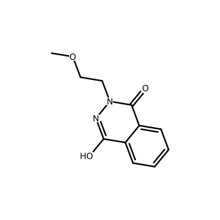 COCCn1nc(O)c2ccccc2c1=O